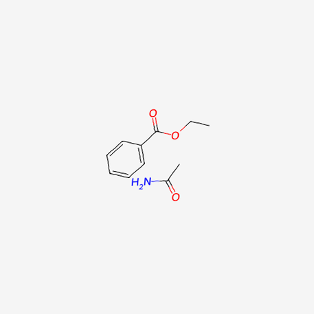 CC(N)=O.CCOC(=O)c1ccccc1